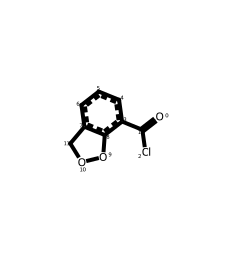 O=C(Cl)c1cccc2c1OOC2